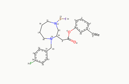 COc1cccc(OC(=O)CC2CN(SI)CCCCN2Cc2ccc(F)cc2)c1